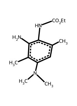 CCOC(=O)Nc1c(C)cc(N(C)C)c(C)c1N